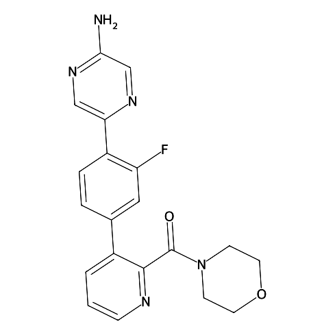 Nc1cnc(-c2ccc(-c3cccnc3C(=O)N3CCOCC3)cc2F)cn1